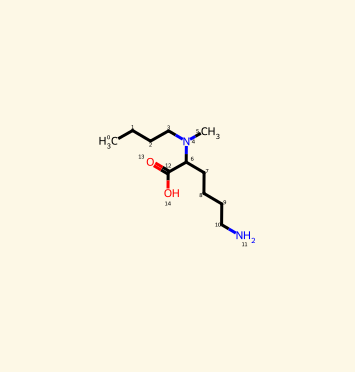 CCCCN(C)C(CCCCN)C(=O)O